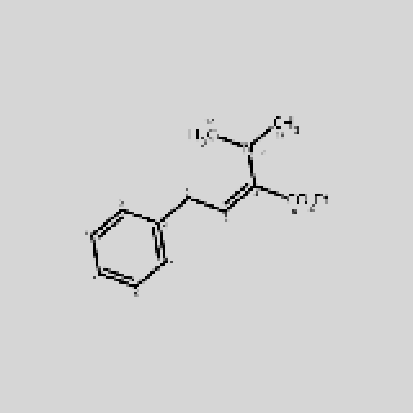 CCOC(=O)C(=CCc1ccccc1)N(C)C